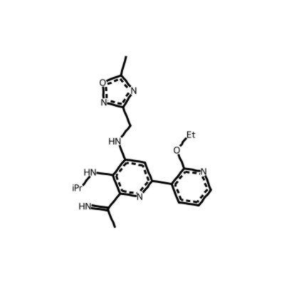 CCOc1ncccc1-c1cc(NCc2noc(C)n2)c(NC(C)C)c(C(C)=N)n1